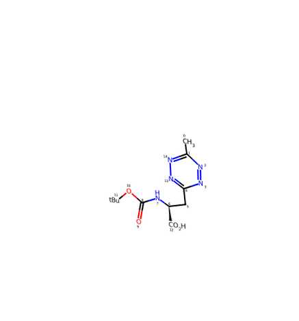 Cc1nnc(C[C@H](NC(=O)OC(C)(C)C)C(=O)O)nn1